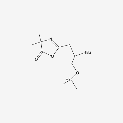 C[SiH](C)OCC(CC1=NC(C)(C)C(=O)O1)C(C)(C)C